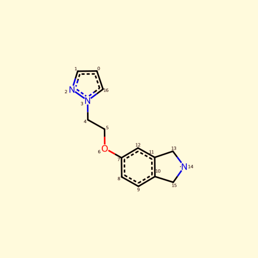 c1cnn(CCOc2ccc3c(c2)C[N]C3)c1